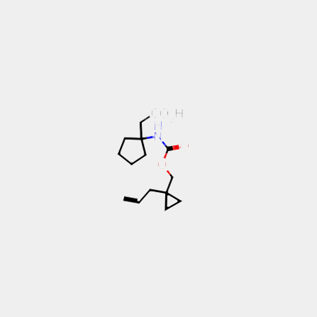 C=CCC1(COC(=O)NC2(CC(=O)O)CCCC2)CC1